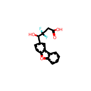 O=C(O)CC(F)(F)C(O)c1ccc2oc3ccccc3c2c1